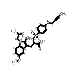 CC#CCOc1ccc(S(=O)(=O)NC(Cc2c(C)n(CC(C)C)c3ccc(OC)cc23)C(=O)O)cc1